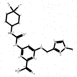 Cn1cnc(COc2cc(OC(=O)NC3CCC(F)(F)CC3)nc(C(N)=S)n2)n1